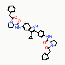 O=C(Nc1ccc(-c2[nH]c3ccc(NC(=O)[C@@H]4CCCN4C(=O)Cc4ccccc4)cc3c2C2CC2)cc1)[C@@H]1CCCN1C(=O)Cc1ccccc1